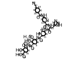 COc1c(NC(=O)c2ccc(NC(=O)c3ccc(NC(=O)[C@H](Cc4cnn[nH]4)NC(=O)c4ccc(NC(=O)c5ccc(C#N)cc5)cn4)cn3)c(OC)c2O)ccc(C(=O)O)c1O